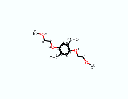 CCOCCOc1cc(C=O)c(OCCOCC)cc1C=O